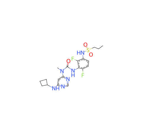 CCCS(=O)(=O)Nc1ccc(F)c(NC(=O)N(C)c2cc(NC3CCC3)ncn2)c1F